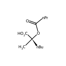 CCCC[C@](C)(OC(=O)CCC)C(=O)O